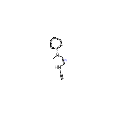 C#CN/C=C\N(C)c1ccccc1